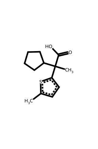 Cc1ccc(C(C)(C(=O)O)C2CCCC2)s1